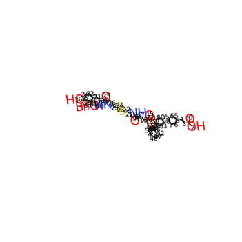 O=C(O)C=Cc1ccc(-c2ccc(OC(=O)CCC(=O)NCCSSCCNC(=O)C(Cc3ccc(O)c(Br)c3)=NO)c(C34CC5CC(CC(C5)C3)C4)c2)cc1